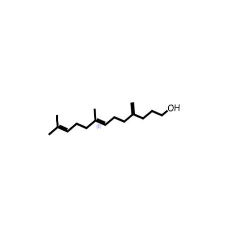 C=C(CC/C=C(\C)CCC=C(C)C)CCCO